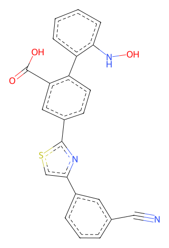 N#Cc1cccc(-c2csc(-c3ccc(-c4ccccc4NO)c(C(=O)O)c3)n2)c1